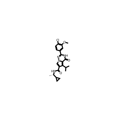 COc1cc(-c2nn3cc(C(=O)N[C@@H](C)C4CC4)c(C(C)C)c3c(=O)[nH]2)ccc1Cl